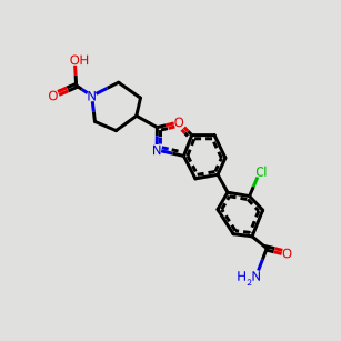 NC(=O)c1ccc(-c2ccc3oc(C4CCN(C(=O)O)CC4)nc3c2)c(Cl)c1